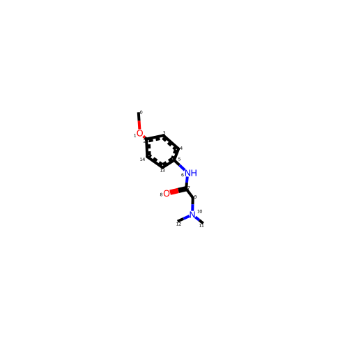 COc1ccc(NC(=O)CN(C)C)cc1